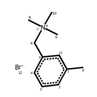 Cc1cccc(C[N+](C)(C)C)c1.[Br-]